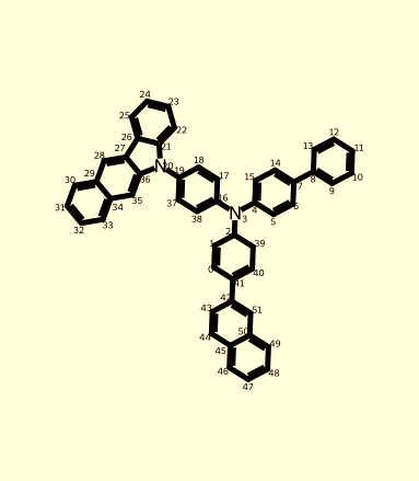 C1=CC(N(c2ccc(-c3ccccc3)cc2)c2ccc(-n3c4ccccc4c4cc5ccccc5cc43)cc2)CC=C1c1ccc2ccccc2c1